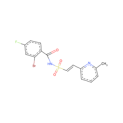 Cc1cccc(/C=C/S(=O)(=O)NC(=O)c2ccc(F)cc2Br)n1